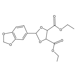 CCOC(=O)C1OC(c2ccc3c(c2)OCO3)OC1C(=O)OCC